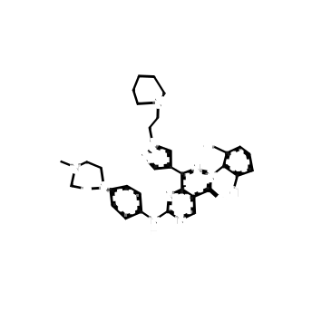 CN1CCN(c2ccc(Nc3ncc4c(=O)n(-c5c(Cl)cccc5Cl)nc(-c5cnn(CCN6CCCCC6)c5)c4n3)cc2)CC1